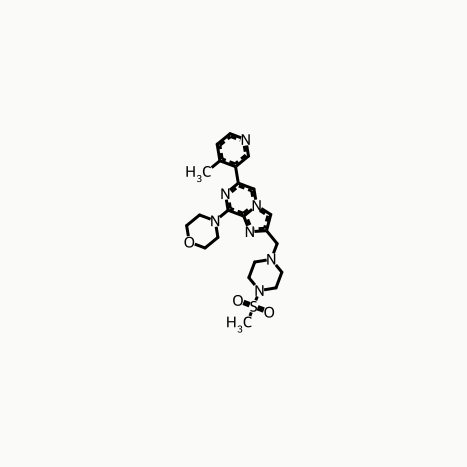 Cc1ccncc1-c1cn2cc(CN3CCN(S(C)(=O)=O)CC3)nc2c(N2CCOCC2)n1